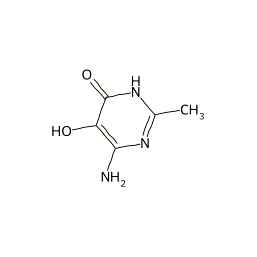 Cc1nc(N)c(O)c(=O)[nH]1